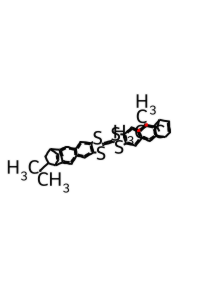 CC(C)C1CC2C=CC1c1cc3cc4c(cc3cc12)S/C(=C1/Sc2cc3cc5c(cc3cc2S1)C1C=CC5CC1C(C)C)S4